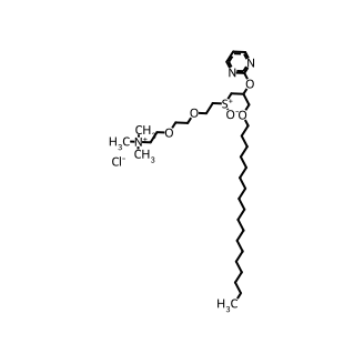 CCCCCCCCCCCCCCCCCCOCC(C[S+]([O-])CCOCCOCC[N+](C)(C)C)Oc1ncccn1.[Cl-]